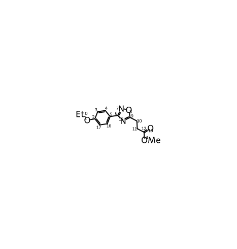 CCOc1ccc(-c2noc(CCC(=O)OC)n2)cc1